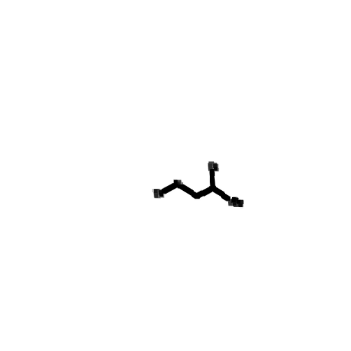 CCCCC(CC)C[N]CC